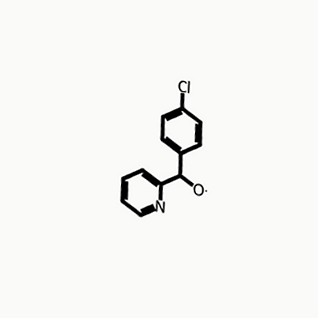 [O]C(c1ccc(Cl)cc1)c1ccccn1